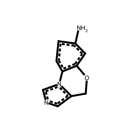 Nc1ccc2c(c1)OCc1cncn1-2